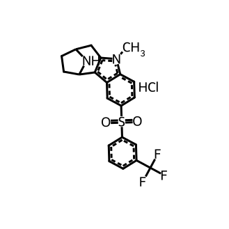 Cl.Cn1c2c(c3cc(S(=O)(=O)c4cccc(C(F)(F)F)c4)ccc31)C1CCC(C2)N1